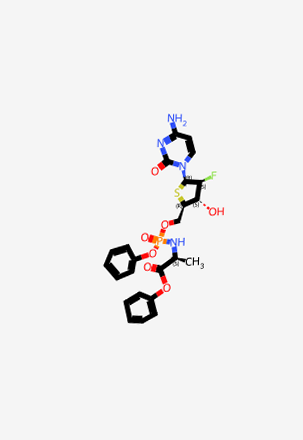 C[C@H](NP(=O)(OC[C@H]1S[C@@H](n2ccc(N)nc2=O)[C@@H](F)[C@@H]1O)Oc1ccccc1)C(=O)Oc1ccccc1